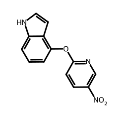 O=[N+]([O-])c1ccc(Oc2cccc3[nH]ccc23)nc1